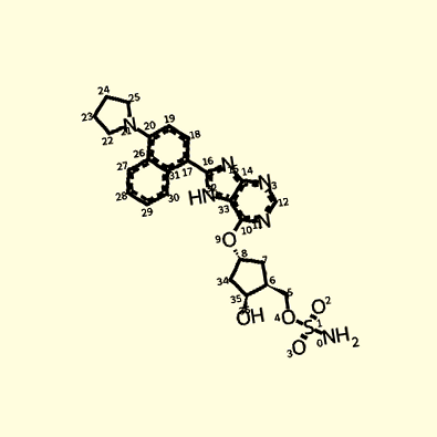 NS(=O)(=O)OC[C@@H]1C[C@@H](Oc2ncnc3nc(-c4ccc(N5CCCC5)c5ccccc45)[nH]c23)C[C@@H]1O